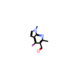 Cc1nc2c(ccn2C)c(I)c1C=O